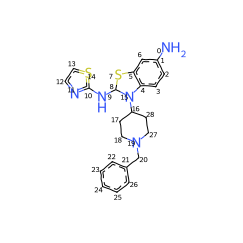 Nc1ccc2c(c1)SC(Nc1nccs1)N2C1CCN(Cc2ccccc2)CC1